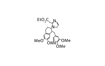 CCOC(=O)CC1=NC=CCN1C1CCc2cc(OC)c(OC)cc2C1Cc1ccc(OC)c(OC)c1